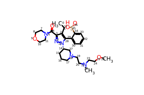 CCc1c(C(=O)N2CCOCC2)nn([C@H]2CCCN(CCN(C)CCOC)C2)c1-c1ccccc1S(=O)O